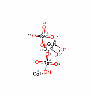 O=[N+]([O-])[O-].O=[N+]([O-])[O-].[Co+2].[O]=[Re](=[O])(=[O])[OH].[O]=[Re](=[O])(=[O])[OH]